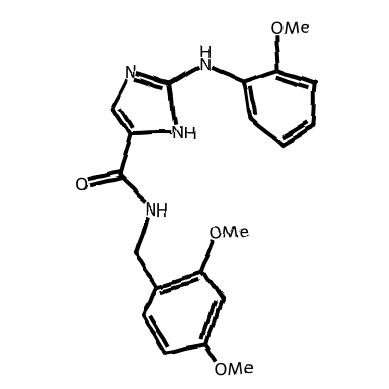 COc1ccc(CNC(=O)c2cnc(Nc3ccccc3OC)[nH]2)c(OC)c1